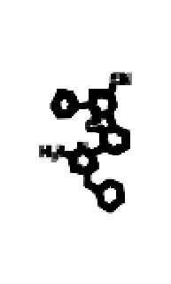 Bc1cc(CC2CCCCC2)cc(-c2cccc3c2oc2c(-c4ccccc4)cc(C#N)cc23)n1